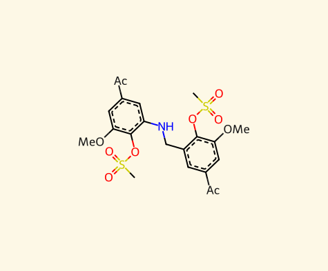 COc1cc(C(C)=O)cc(CNc2cc(C(C)=O)cc(OC)c2OS(C)(=O)=O)c1OS(C)(=O)=O